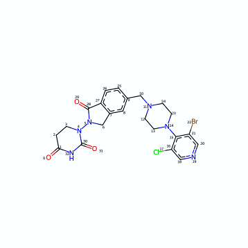 O=C1CCN(N2Cc3cc(CN4CCN(c5c(Cl)cncc5Br)CC4)ccc3C2=O)C(=O)N1